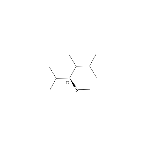 CS[C@@H](C(C)C)C(C)C(C)C